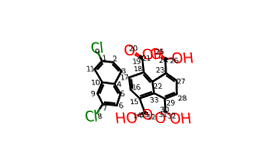 Clc1ccc2ccc(Cl)cc2c1.O=C(O)c1ccc(C(=O)O)c2c(C(=O)O)ccc(C(=O)O)c12